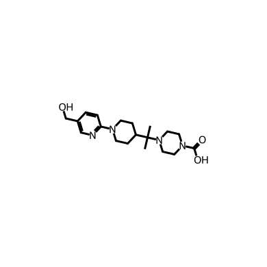 CC(C)(C1CCN(c2ccc(CO)cn2)CC1)N1CCN(C(=O)O)CC1